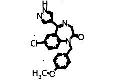 COc1ccc(CN2C(=O)CN=C(c3cn[nH]c3)c3cc(Cl)ccc32)cc1